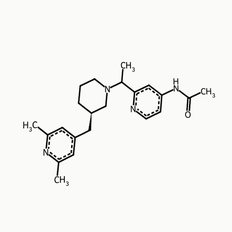 CC(=O)Nc1ccnc(C(C)N2CCC[C@H](Cc3cc(C)nc(C)c3)C2)c1